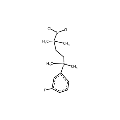 CC(C)(CC[N+](C)(C)c1cccc(F)c1)N(Cl)Cl